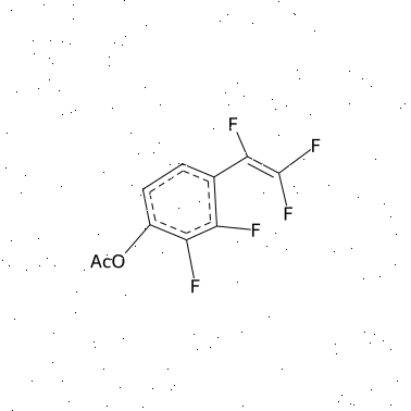 CC(=O)Oc1ccc(C(F)=C(F)F)c(F)c1F